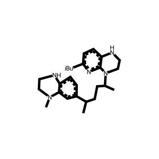 CCC(C)c1ccc2c(n1)N(C(C)CCC(C)c1ccc3c(c1)N(C)CCN3)CCN2